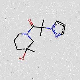 CC1(O)CCCN(C(=O)C(C)(C)n2c[c]cn2)C1